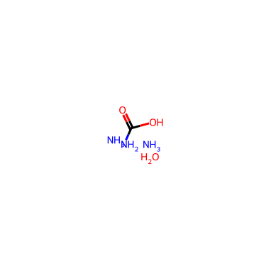 N.N.NC(=O)O.O